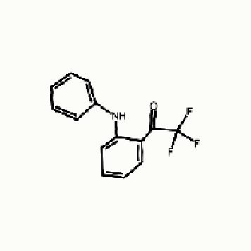 O=C(c1ccccc1Nc1ccccc1)C(F)(F)F